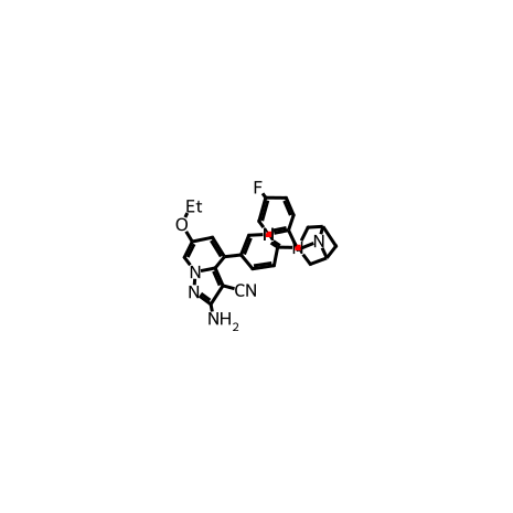 CCOc1cc(-c2ccc(N3CC4CC(C3)N4Cc3ccc(F)cn3)nc2)c2c(C#N)c(N)nn2c1